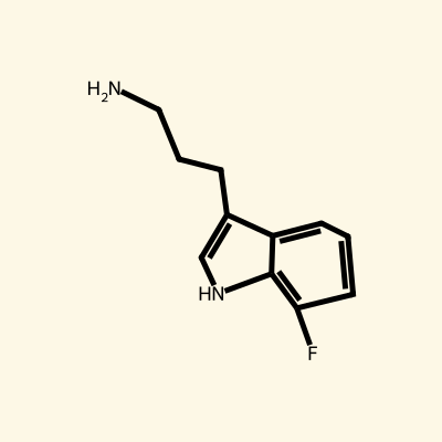 NCCCc1c[nH]c2c(F)cccc12